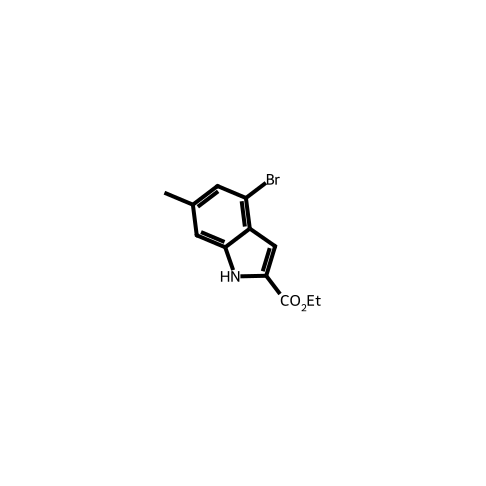 CCOC(=O)c1cc2c(Br)cc(C)cc2[nH]1